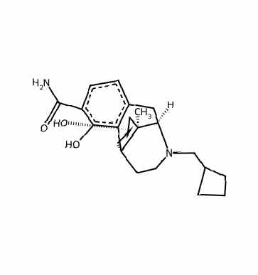 C[C@@]12CC[C@@H](O)C[C@@]13CCN(CC1CCC1)[C@@H]2Cc1ccc(C(N)=O)c(O)c13